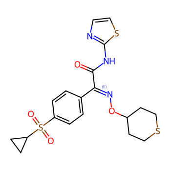 O=C(Nc1nccs1)/C(=N/OC1CCSCC1)c1ccc(S(=O)(=O)C2CC2)cc1